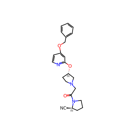 N#C[C@@H]1CCCN1C(=O)CN1CC[C@H](Oc2cc(OCc3ccccc3)ccn2)C1